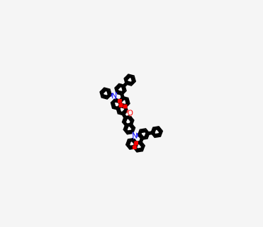 c1ccc(-c2ccc(N(c3ccccc3)c3ccc4cc5c(cc4c3)oc3cc4cc(N(c6ccccc6)c6ccc(-c7ccccc7)cc6-c6ccccc6)ccc4cc35)c(-c3ccccc3)c2)cc1